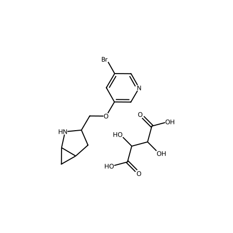 Brc1cncc(OCC2CC3CC3N2)c1.O=C(O)C(O)C(O)C(=O)O